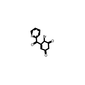 O=C1C=C(C(=O)c2ccccn2)C(Br)C(=O)C1